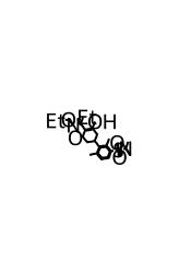 CCON=C(CC)C1=C(O)CC(c2c(C)ccc(S(=O)(=O)N(C)C)c2C)CC1=O